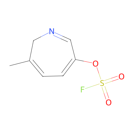 CC1=CC=C(OS(=O)(=O)F)C=NC1